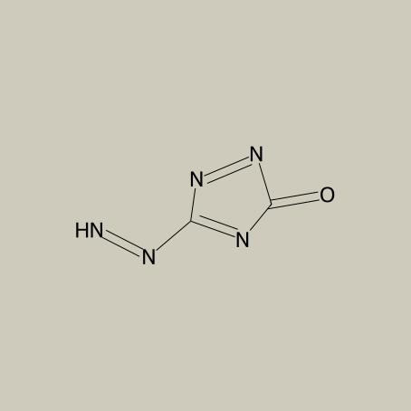 N=NC1=NC(=O)N=N1